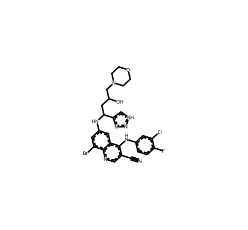 N#Cc1cnc2c(Br)cc(NC(CC(O)CN3CCOCC3)c3c[nH]nn3)cc2c1Nc1ccc(F)c(Cl)c1